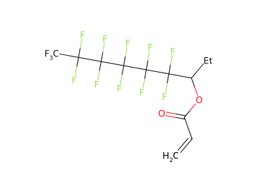 C=CC(=O)OC(CC)C(F)(F)C(F)(F)C(F)(F)C(F)(F)C(F)(F)C(F)(F)F